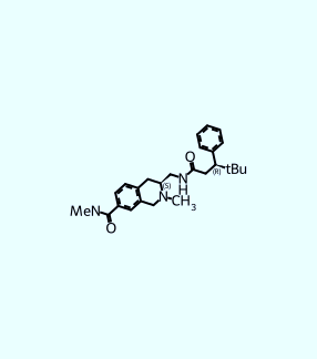 CNC(=O)c1ccc2c(c1)CN(C)[C@H](CNC(=O)C[C@@H](c1ccccc1)C(C)(C)C)C2